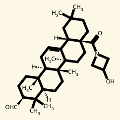 CC1(C)CC[C@]2(C(=O)N3CC(O)C3)CC[C@]3(C)C(=CC[C@@H]4[C@@]5(C)CC[C@H](C=O)C(C)(C)[C@@H]5CC[C@]43C)[C@@H]2C1